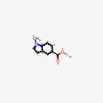 Cn1ccc2cc(C(=O)OF)ccc21